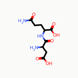 NC(=O)CCC(NC(=O)C(N)CC(=O)O)C(=O)O